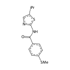 CSc1ccc(C(=O)Nc2ncc(C(C)C)s2)cc1